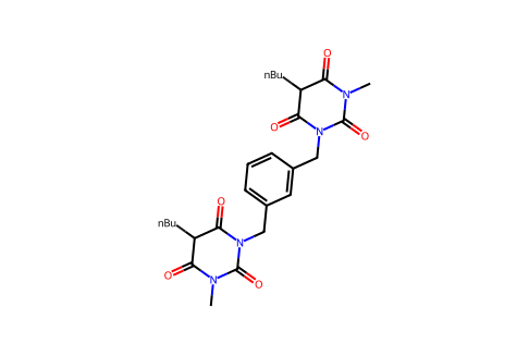 CCCCC1C(=O)N(C)C(=O)N(Cc2cccc(CN3C(=O)C(CCCC)C(=O)N(C)C3=O)c2)C1=O